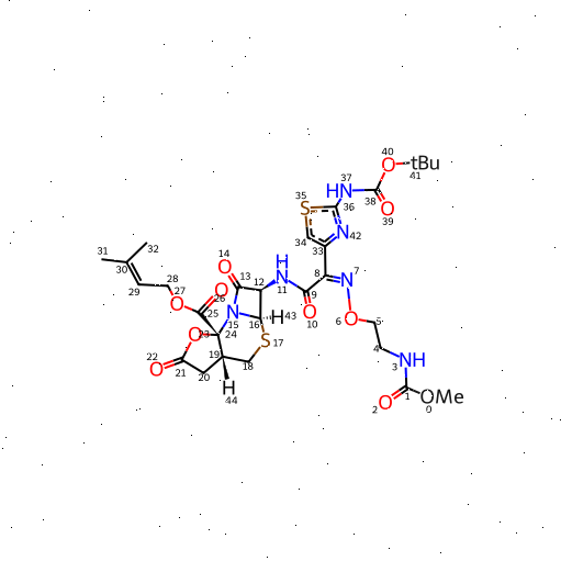 COC(=O)NCCO/N=C(\C(=O)N[C@@H]1C(=O)N2[C@@H]1SC[C@@H]1CC(=O)O[C@@]12C(=O)OCC=C(C)C)c1csc(NC(=O)OC(C)(C)C)n1